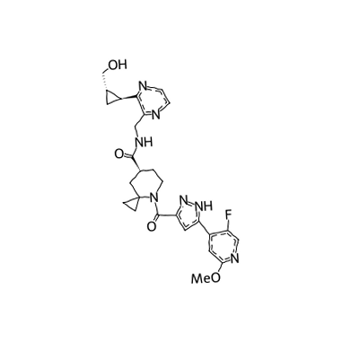 COc1cc(-c2cc(C(=O)N3CC[C@H](C(=O)NCc4nccnc4[C@H]4C[C@@H]4CO)CC34CC4)n[nH]2)c(F)cn1